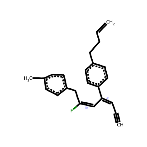 C#C/C=C(\C=C(\F)Cc1ccc(C)cc1)c1ccc(CCC=C)cc1